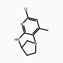 Cc1cc(Cl)nc2c1N1CCC(C1)N2